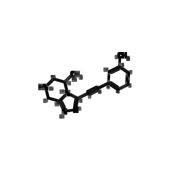 Cc1cccc(C#Cc2nnc3n2C(C)CNC3)c1